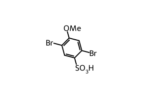 COc1cc(Br)c(S(=O)(=O)O)cc1Br